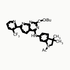 CC(=O)N1CC(C)(C)c2ccc(Nc3nc(COCC(C)C)nc4nc(-c5ncccc5C(F)(F)F)ccc34)cc21